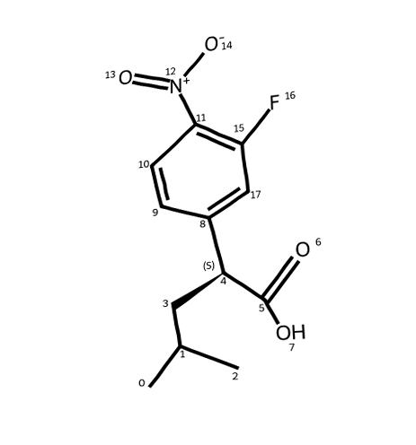 CC(C)C[C@H](C(=O)O)c1ccc([N+](=O)[O-])c(F)c1